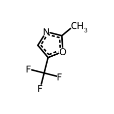 Cc1ncc(C(F)(F)F)o1